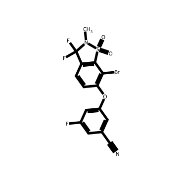 CN1C(F)(F)c2ccc(Oc3cc(F)cc(C#N)c3)c(Br)c2S1(=O)=O